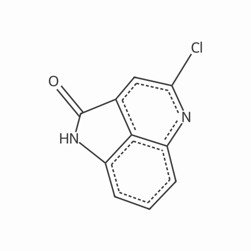 O=C1Nc2cccc3nc(Cl)cc1c23